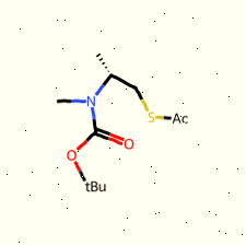 CC(=O)SC[C@@H](C)N(C)C(=O)OC(C)(C)C